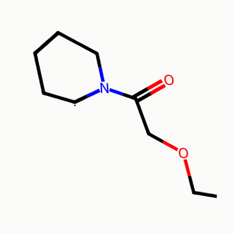 CCOCC(=O)N1[CH]CCCC1